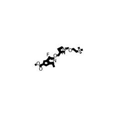 COC(=O)C1Cc2c(C)nc(OCc3ccn(COCCS(C)(C)C)n3)c(F)c2C1